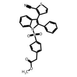 COC(=O)Cc1ccc(S(=O)(=O)n2c(-c3ccccc3)c(-c3ccsc3C#N)c3ccccc32)cc1